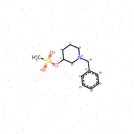 CS(=O)(=O)OC1CCCN(Cc2ccccc2)C1